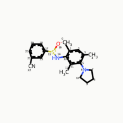 Cc1cc(C)c(N2CCCC2)c(C)c1N[S+]([O-])c1cccc(C#N)c1